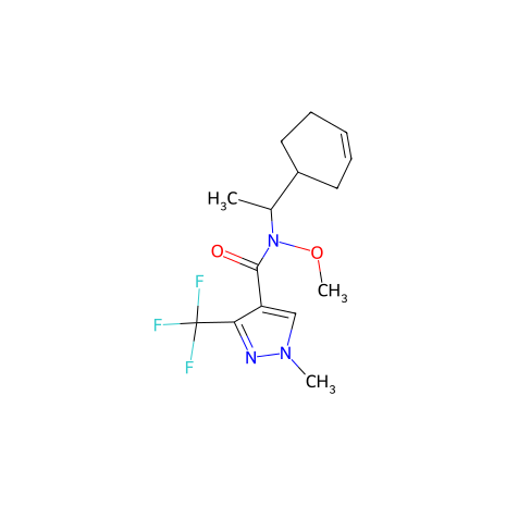 CON(C(=O)c1cn(C)nc1C(F)(F)F)C(C)C1CC=CCC1